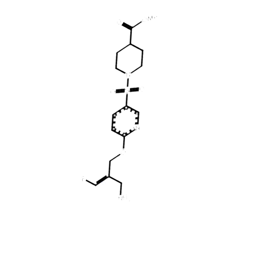 COC(=O)C1CCN(S(=O)(=O)c2ccc(OC/C(=C\F)CN)nc2)CC1